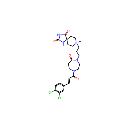 C[N+]1(CCCN2CCN(C(=O)C=Cc3ccc(Cl)c(Cl)c3)CCC2=O)CCC2(CC1)NC(=O)NC2=O.[I-]